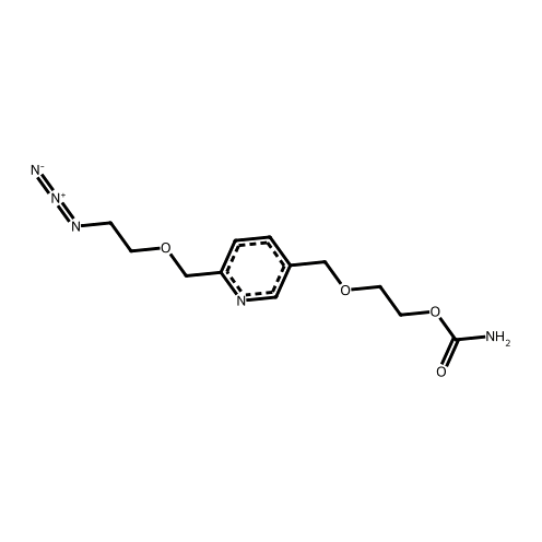 [N-]=[N+]=NCCOCc1ccc(COCCOC(N)=O)cn1